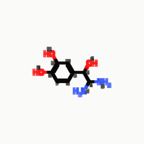 NC(N)[C@H](O)c1ccc(O)c(O)c1